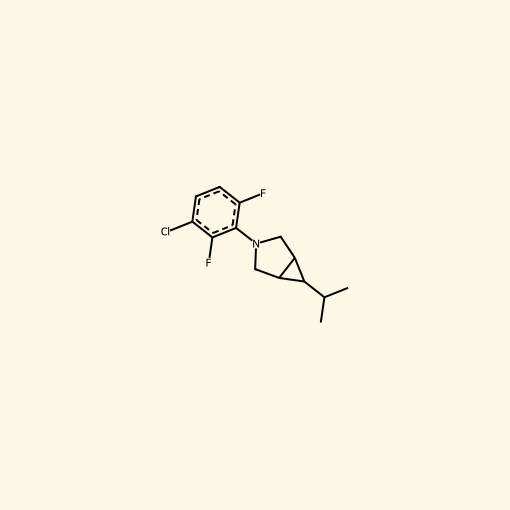 CC(C)C1C2CN(c3c(F)ccc(Cl)c3F)CC21